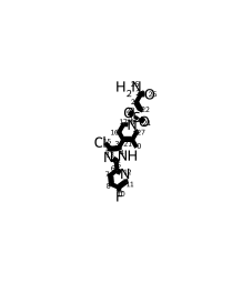 CC1=C(c2[nH]c(-c3ccc(F)cn3)nc2Cl)CCN(S(=O)(=O)C=CC(N)=O)C1